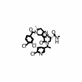 CNC(=O)[C@@H]1CN(C(C)c2ccc(Cl)nc2)C(=O)c2c3c(nn21)C[C@@H](C)N(C(=O)c1ccc(Cl)c(Cl)c1)C3